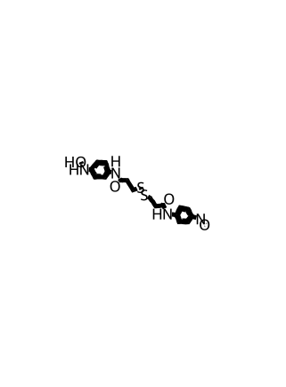 O=Nc1ccc(NC(=O)CCSSCCC(=O)Nc2ccc(NO)cc2)cc1